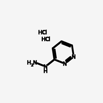 Cl.Cl.NNc1cccnn1